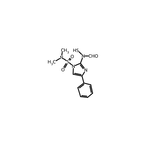 CN(C)S(=O)(=O)n1cc(-c2ccccc2)nc1N(S)C=O